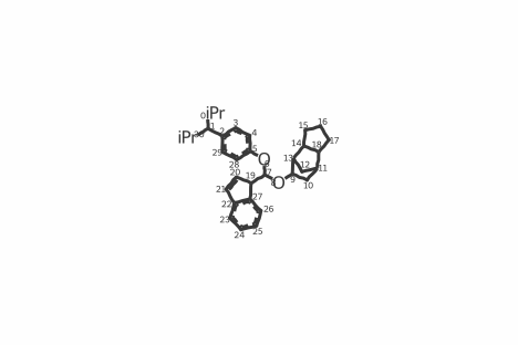 CC(C)C(c1ccc(OC(OC2CC3CC2C2CCCC32)C2C=Cc3ccccc32)cc1)C(C)C